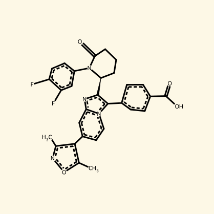 Cc1noc(C)c1-c1ccn2c(-c3ccc(C(=O)O)cc3)c([C@@H]3CCCC(=O)N3c3ccc(F)c(F)c3)nc2c1